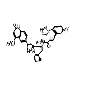 O=C(/C=C/c1cc(Cl)ccc1-n1cnnn1)NC(Cc1ccccc1)c1cc(-c2ccc3[nH]c(=O)cc(O)c3c2)cnn1